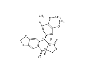 COc1cc([C@@H]2c3cc4c(cc3C(=O)[C@H]3COC(=O)[C@H]23)OCO4)cc(OC)c1OC